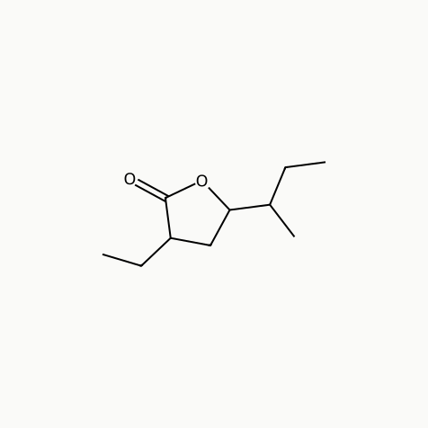 CCC1CC(C(C)CC)OC1=O